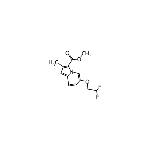 COC(=O)c1c(C)cc2ccc(OCC(F)F)cn12